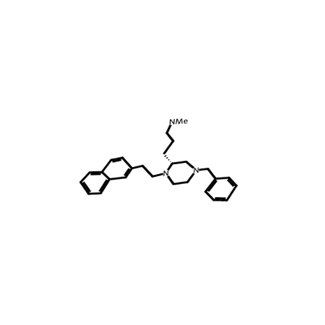 CNCCC[C@@H]1CN(Cc2ccccc2)CCN1CCc1ccc2ccccc2c1